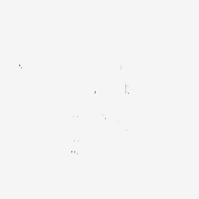 COCC1=C(C(=O)OCc2ccc(OC)cc2)N2C(=O)C(NC(=O)c3ccccc3C(=O)O)[C@H]2SC1